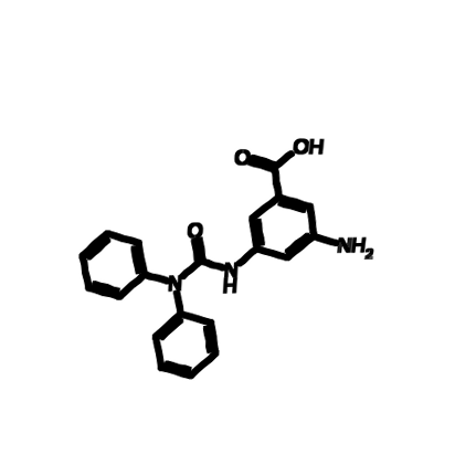 Nc1cc(NC(=O)N(c2ccccc2)c2ccccc2)cc(C(=O)O)c1